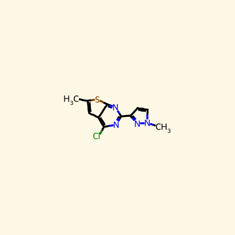 Cc1cc2c(Cl)nc(-c3ccn(C)n3)nc2s1